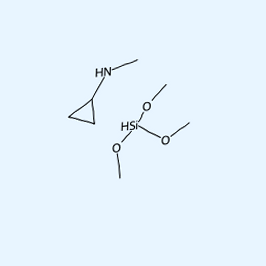 CNC1CC1.CO[SiH](OC)OC